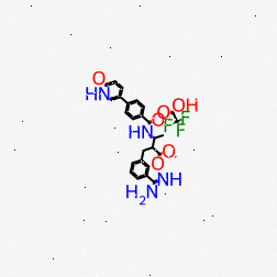 COC(=O)C(Cc1cccc(C(=N)N)c1)C(C)NC(=O)c1ccc(-c2ccc(=O)[nH]c2)cc1.O=C(O)C(F)(F)F